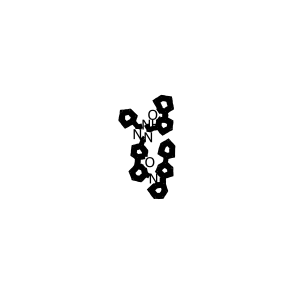 c1ccc(C2=NC(c3ccc4c(c3)oc3c(-n5c6ccccc6c6ccc(-c7ccccc7)cc65)cccc34)=NC(c3cccc4c3oc3ccccc34)N2)cc1